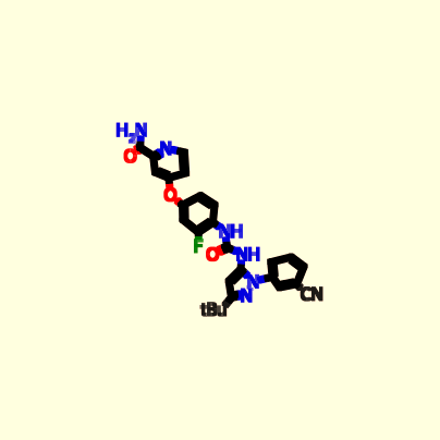 CC(C)(C)c1cc(NC(=O)Nc2ccc(Oc3ccnc(C(N)=O)c3)cc2F)n(-c2cccc(C#N)c2)n1